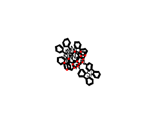 c1ccc(-c2nc(-c3ccccc3)nc(-n3c4ccccc4c4ccc5c(c6ccccc6n5-c5ccc6c(c5)[Si]5(c7ccccc7-6)c6ccccc6-c6ccc(-n7c8ccccc8c8c7ccc7c9ccccc9n(-c9nc(-c%10ccccc%10)nc(-c%10ccccc%10)n9)c78)cc65)c43)n2)cc1